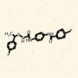 CC(SNC(=O)Nc1ccc(NC(=O)c2ccc(F)cc2)cc1)c1ccc(F)cc1